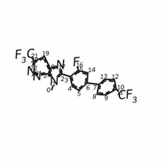 Cn1c(-c2ccc(-c3ccc(C(F)(F)F)cc3)cc2F)nc2cc(C(F)(F)F)nnc21